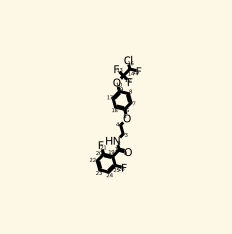 O=C(NCCOc1ccc(OC(F)(F)C(F)Cl)cc1)c1c(F)cccc1F